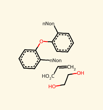 C=CC(=O)O.CCCCCCCCCc1ccccc1Oc1ccccc1CCCCCCCCC.OCCO